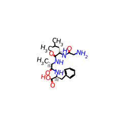 CC(C)C[C@H](NC(=O)CN)C(=O)N[C@@H](C)C(=O)N[C@@H](Cc1ccccc1)C(=O)O